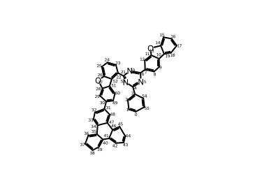 c1ccc(-c2nc(-c3ccc4c(c3)oc3ccccc34)nc(-c3cccc4oc5cc(-c6ccc7c8ccccc8c8ccccc8c7c6)ccc5c34)n2)cc1